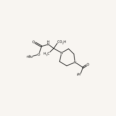 CCCCOC(=O)NC(C)(C(=O)O)N1CCN(C(=O)C(C)C)CC1